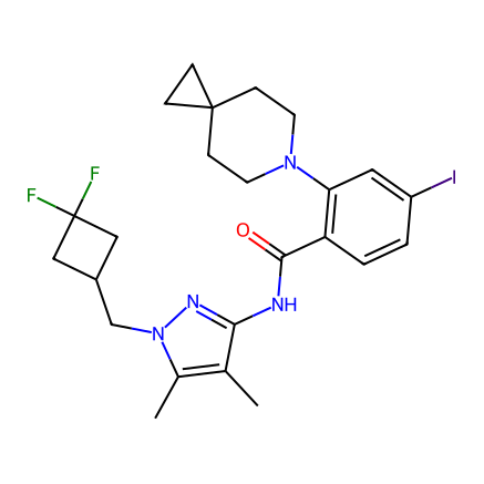 Cc1c(NC(=O)c2ccc(I)cc2N2CCC3(CC2)CC3)nn(CC2CC(F)(F)C2)c1C